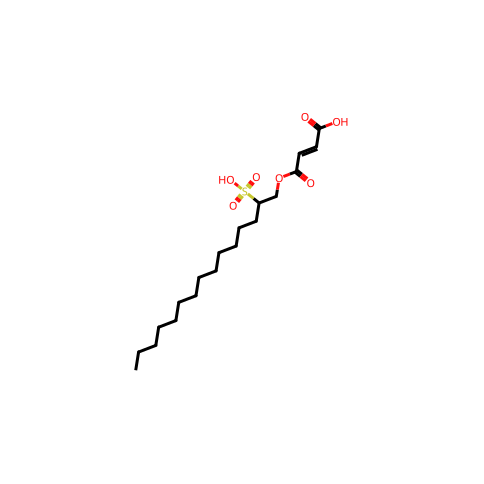 CCCCCCCCCCCCCC(COC(=O)C=CC(=O)O)S(=O)(=O)O